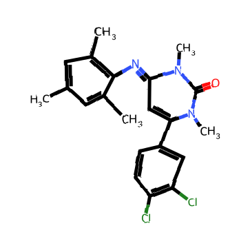 Cc1cc(C)c(N=c2cc(-c3ccc(Cl)c(Cl)c3)n(C)c(=O)n2C)c(C)c1